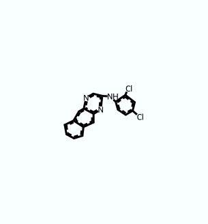 Clc1ccc(Nc2cnc3cc4ccccc4cc3n2)c(Cl)c1